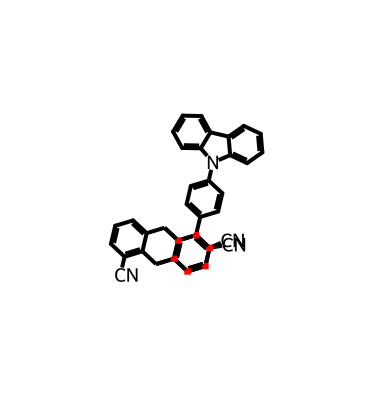 N#Cc1ccc2c(c1)C1c3cccc(C#N)c3C2c2ccc(C#N)c(-c3ccc(-n4c5ccccc5c5ccccc54)cc3)c21